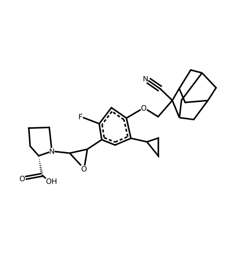 N#CC1(COc2cc(F)c(C3OC3N3CCC[C@H]3C(=O)O)cc2C2CC2)C2CC3CC(C2)CC1C3